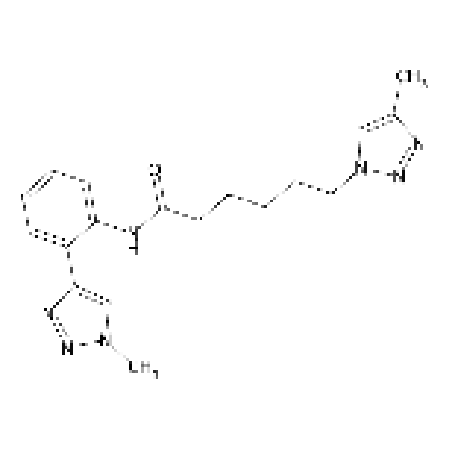 Cc1cn(CCCCCC(=O)Nc2ccccc2-c2cn(C)nn2)nn1